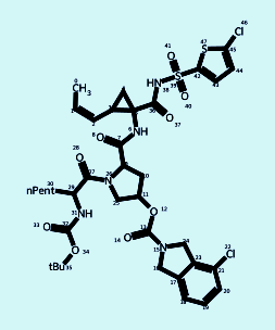 C/C=C\C1CC1(NC(=O)C1CC(OC(=O)N2Cc3cccc(Cl)c3C2)CN1C(=O)C(CCCCC)NC(=O)OC(C)(C)C)C(=O)NS(=O)(=O)c1ccc(Cl)s1